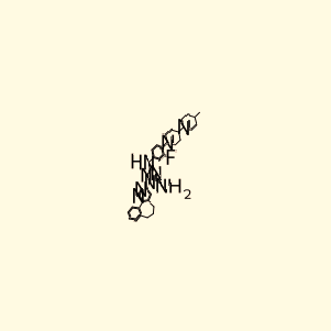 CC1CCN(C2CCN(c3ccc(Nc4nc(N)n(-c5cc6c(nn5)-c5ccccc5CCC6)n4)cc3F)CC2)CC1